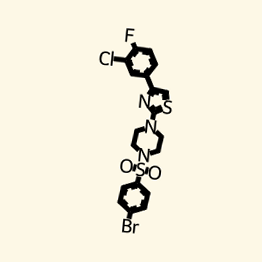 O=S(=O)(c1ccc(Br)cc1)N1CCN(c2nc(-c3ccc(F)c(Cl)c3)cs2)CC1